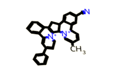 Cc1ccc2[n+](c1)C1c3c(c4ccccc4c4cc(-c5ccccc5)cc[n+]34)CC1c1ccc(C#N)cc1-2